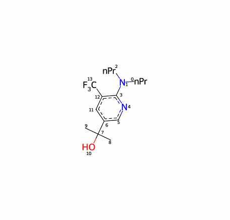 CCCN(CCC)c1ncc(C(C)(C)O)cc1C(F)(F)F